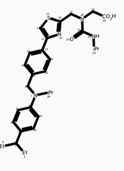 CCC(CC)c1ccc(N(Cc2ccc(-c3csc(CN(CC(=O)O)C(=O)NC(C)C)n3)cc2)C(C)C)cc1